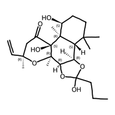 C=C[C@@]1(C)CC(=O)[C@]2(O)[C@@]3(C)[C@@H](O)CCC(C)(C)[C@@H]3[C@H]3OC(O)(CCC)O[C@H]3[C@@]2(C)O1